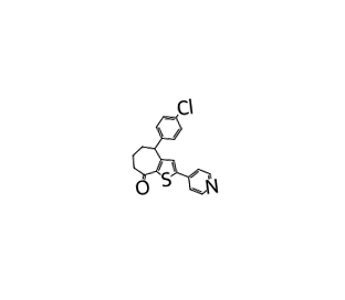 O=C1CCCC(c2ccc(Cl)cc2)c2cc(-c3ccncc3)sc21